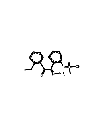 CCc1ccccc1C(=O)/C(=N/N)c1ccccc1OP(C)(=O)O